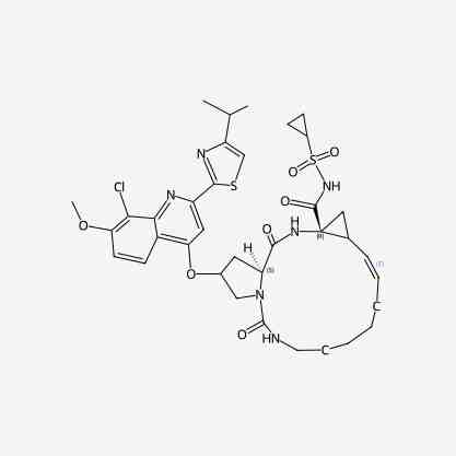 COc1ccc2c(OC3C[C@H]4C(=O)N[C@]5(C(=O)NS(=O)(=O)C6CC6)CC5/C=C\CCCCCNC(=O)N4C3)cc(-c3nc(C(C)C)cs3)nc2c1Cl